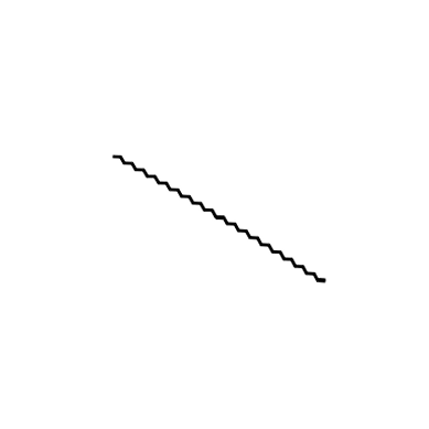 C=CCCCCCCCCCCCCCCCCC=CCCCCCCCCCCCCCCCCCC